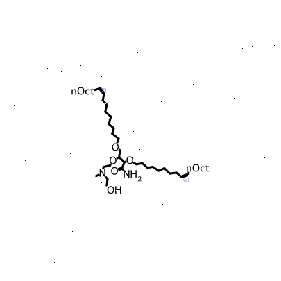 CCCCCCCC/C=C\CCCCCCCCOCC(OCCN(C)CCO)C(OCCCCCCCC/C=C\CCCCCCCC)C(N)=O